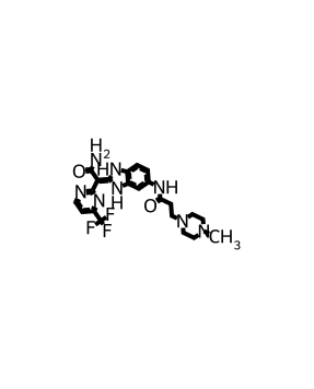 CN1CCN(CCC(=O)Nc2ccc3c(c2)N/C(=C(/C(N)=O)c2nccc(C(F)(F)F)n2)N3)CC1